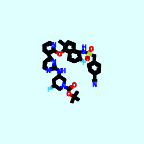 Cc1ccc2c(NS(=O)(=O)Cc3ccc(C#N)cc3)c(F)ccc2c1Oc1ncccc1-c1ccnc(NC2CC(F)CN(C(=O)OC(C)(C)C)C2)n1